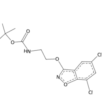 CC(C)(C)OC(=O)NCCOc1noc2c(Cl)cc(Cl)cc12